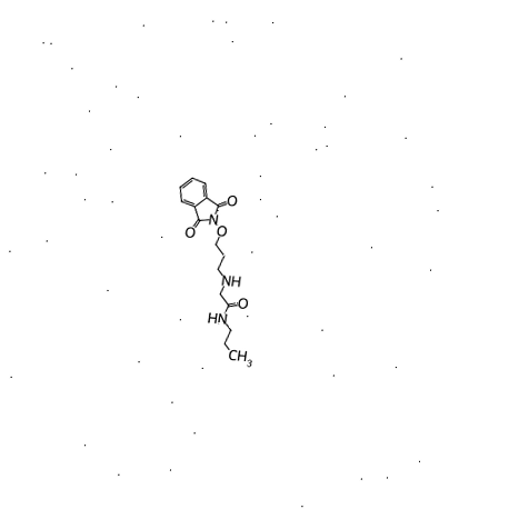 CCCNC(=O)CNCCCON1C(=O)c2ccccc2C1=O